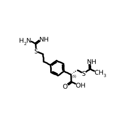 CC(=N)SC[C@H](C(=O)O)c1ccc(CCSC(=N)N)cc1